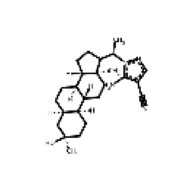 C[C@H](C1CC[C@H]2[C@@H]3CC[C@@H]4C[C@](C)(O)CC[C@@H]4[C@H]3CC[C@]12C)n1ncc(C#N)c1N